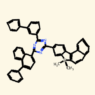 C[Si]1(C)c2cc(-c3nc(-c4cccc(-c5ccccc5)c4)nc(-c4ccc(-c5ccccc5)c5ccccc45)n3)ccc2-c2c1ccc1ccccc21